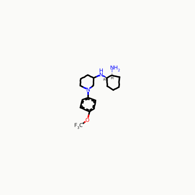 N[C@@H]1CCCC[C@H]1NC1CCCN(c2ccc(OC(F)(F)F)cc2)C1